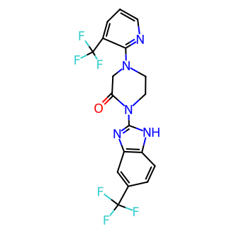 O=C1CN(c2ncccc2C(F)(F)F)CCN1c1nc2cc(C(F)(F)F)ccc2[nH]1